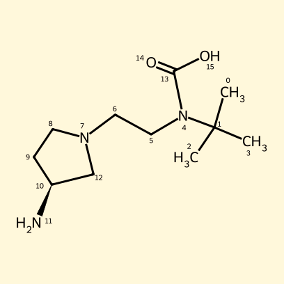 CC(C)(C)N(CCN1CC[C@H](N)C1)C(=O)O